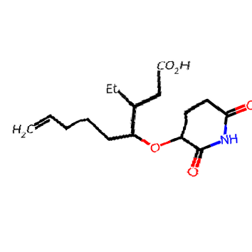 C=CCCCC(OC1CCC(=O)NC1=O)C(CC)CC(=O)O